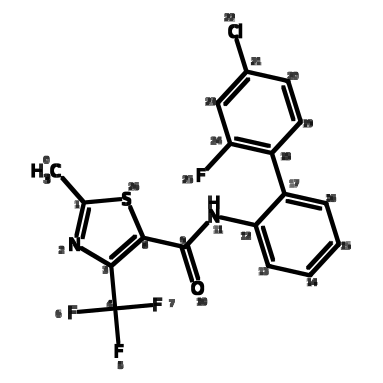 Cc1nc(C(F)(F)F)c(C(=O)Nc2ccccc2-c2ccc(Cl)cc2F)s1